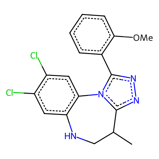 COc1ccccc1-c1nnc2n1-c1cc(Cl)c(Cl)cc1NCC2C